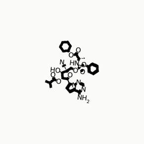 CC(C)C(=O)O[C@H]1[C@H](c2ccc3c(N)ncnn23)O[C@](C#N)(CO[P@@](=O)(N[C@@H](C)C(=O)OC2CCCCC2)Oc2ccccc2)[C@H]1O